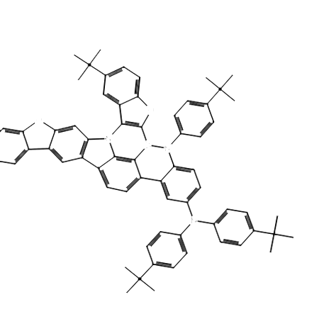 CC(C)(C)c1ccc(N2B3c4oc5ccc(C(C)(C)C)cc5c4-n4c5cc6oc7ccccc7c6cc5c5ccc(c3c54)-c3cc(N(c4ccc(C(C)(C)C)cc4)c4ccc(C(C)(C)C)cc4)ccc32)cc1